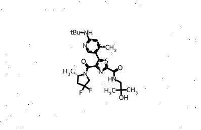 Cc1cc(NC(C)(C)C)ncc1-c1sc(C(=O)NCC(C)(C)O)nc1C(=O)N1CC(F)(F)C[C@@H]1C